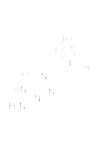 Nc1nc2ncc(COP(=O)(O)OP(=O)(O)O)nc2c(=O)[nH]1